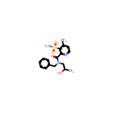 NS(=O)(=O)c1c(C(F)(F)F)ccnc1C(=O)N(Cc1ccccc1)CC(O)C(F)(F)F